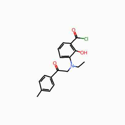 CCN(CC(=O)c1ccc(C)cc1)c1cccc(C(=O)Cl)c1O